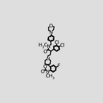 CN(Cc1ccc(N2CCOCC2)cc1)C(=O)C(CCN1CCC2(CC1)OC(=O)N(C)c1ccc(F)cc12)c1ccc(Cl)c(Cl)c1